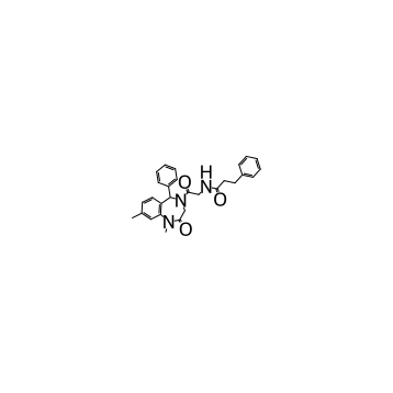 Cc1ccc2c(c1)N(C)C(=O)CN(C(=O)CNC(=O)CCc1ccccc1)C2c1ccccc1